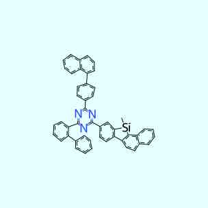 C[Si]1(C)c2cc(-c3nc(-c4ccc(-c5cccc6ccccc56)cc4)nc(-c4ccccc4-c4ccccc4)n3)ccc2-c2ccc3ccccc3c21